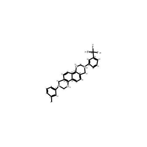 Cc1cccc(N2COc3c(ccc4c5c(ccc34)CN(c3cccc(C(F)(F)F)c3)CO5)C2)c1